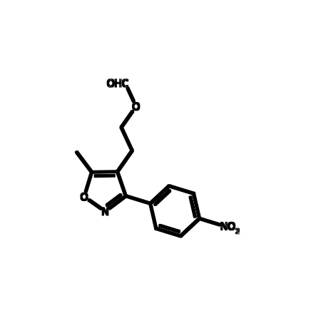 Cc1onc(-c2ccc([N+](=O)[O-])cc2)c1CCOC=O